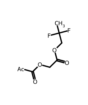 CC(=O)C(=O)OCC(=O)OCC(C)(F)F